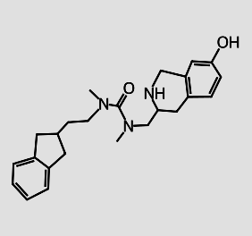 CN(CCC1Cc2ccccc2C1)C(=O)N(C)CC1Cc2ccc(O)cc2CN1